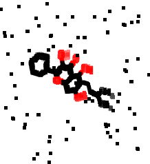 CC(C)=CCc1c(O)cc2oc(-c3ccccc3)c(O)c(=O)c2c1O